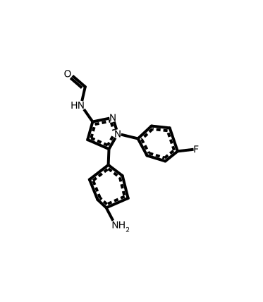 Nc1ccc(-c2cc(NC=O)nn2-c2ccc(F)cc2)cc1